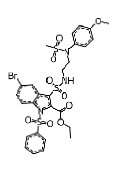 CCOC(=O)c1c(S(=O)(=O)NCCN(c2ccc(OC)cc2)S(C)(=O)=O)c2cc(Br)ccc2n1S(=O)(=O)c1ccccc1